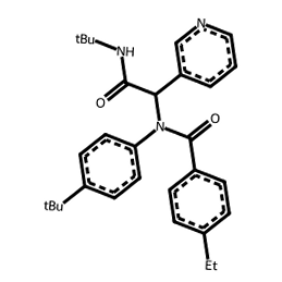 CCc1ccc(C(=O)N(c2ccc(C(C)(C)C)cc2)C(C(=O)NC(C)(C)C)c2cccnc2)cc1